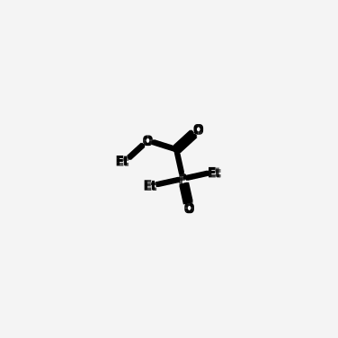 CCOC(=O)P(=O)(CC)CC